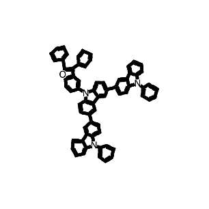 c1ccc(-c2oc3ccc(-n4c5ccc(-c6ccc7c(c6)c6ccccc6n7-c6ccccc6)cc5c5cc(-c6ccc7c(c6)c6ccccc6n7-c6ccccc6)ccc54)cc3c2-c2ccccc2)cc1